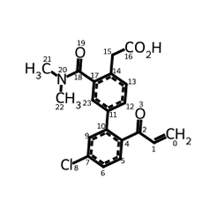 C=CC(=O)c1ccc(Cl)cc1-c1ccc(CC(=O)O)c(C(=O)N(C)C)c1